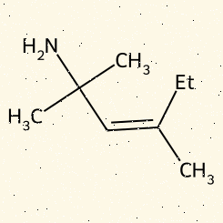 CC/C(C)=C\C(C)(C)N